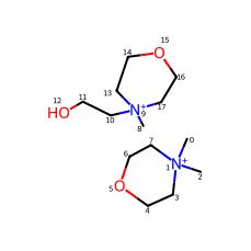 C[N+]1(C)CCOCC1.C[N+]1(CCO)CCOCC1